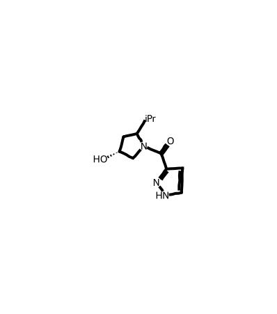 CC(C)C1C[C@@H](O)CN1C(=O)c1cc[nH]n1